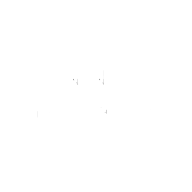 Cc1cnc(Nc2ccc(F)cc2)c(Br)c1